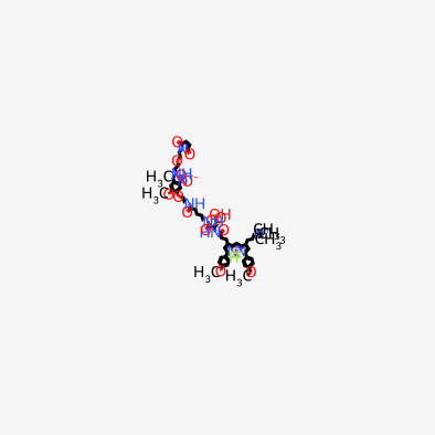 COc1ccc(C2=[N+]3C(=Cc4c(CCC[N+](C)(C)C)cc(-c5ccc(OC)cc5)n4[B-]3(F)F)C(CCC(=O)NC(CS(=O)(=O)O)C(=O)NCCCCC(=O)NCCOc3cc([N+](=O)[O-])c(C(C)NCCOCCN4C(=O)C=CC4=O)cc3OC)=C2)cc1